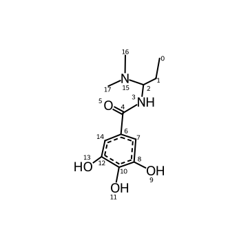 CCC(NC(=O)c1cc(O)c(O)c(O)c1)N(C)C